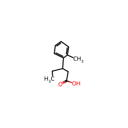 CCC(CC(=O)O)c1ccccc1C